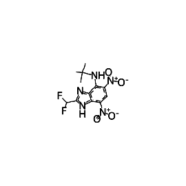 CC(C)(C)Nc1c([N+](=O)[O-])cc([N+](=O)[O-])c2[nH]c(C(F)F)nc12